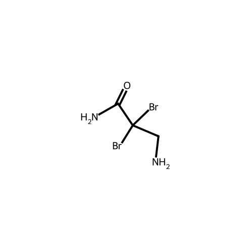 NCC(Br)(Br)C(N)=O